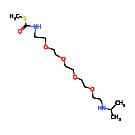 CSC(=O)NCCOCCOCCOCCOCCNC(C)C